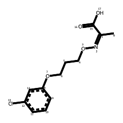 CC(=NOCCCOc1cccc(Cl)c1)C(=O)O